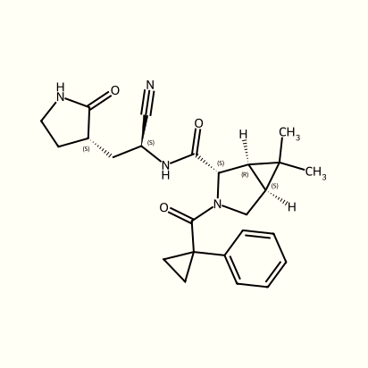 CC1(C)[C@@H]2[C@@H](C(=O)N[C@H](C#N)C[C@@H]3CCNC3=O)N(C(=O)C3(c4ccccc4)CC3)C[C@@H]21